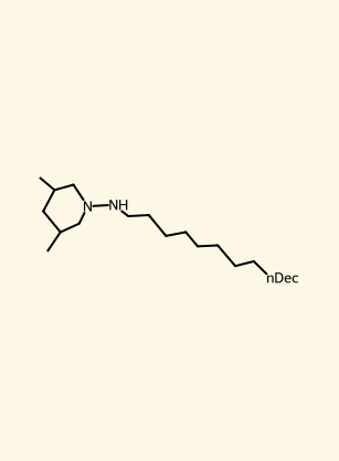 CCCCCCCCCCCCCCCCCCNN1CC(C)CC(C)C1